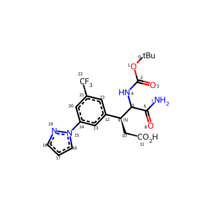 CC(C)(C)OC(=O)NC(C(N)=O)[C@@H](CC(=O)O)c1cc(-n2cccn2)cc(C(F)(F)F)c1